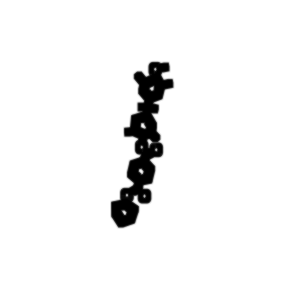 COc1c(C)cc(C(C)(C)c2cc(C)c(OC(=O)c3ccc(C(=O)Oc4ccccc4)cc3)c(C)c2)cc1C